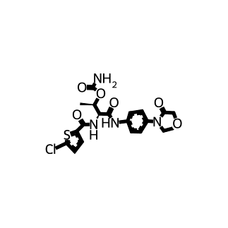 C[C@@H](OC(N)=O)[C@@H](NC(=O)c1ccc(Cl)s1)C(=O)Nc1ccc(N2CCOCC2=O)cc1